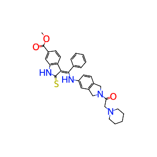 COC(=O)c1ccc2c(c1)NC(=S)/C2=C(\Nc1ccc2c(c1)CN(C(=O)CN1CCCCC1)C2)c1ccccc1